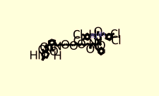 C=C1CCC(N2C(=O)c3cccc(NCCOCCOCCOCCC(=O)N[C@@H](Cc4ccccc4)C(=O)N4C/C(=C\c5ccc(Cl)c(Cl)c5)C(=O)/C(=C/c5ccc(Cl)c(Cl)c5)C4)c3C2=O)C(=O)N1